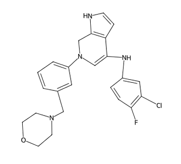 Fc1ccc(NC2=CN(c3cccc(CN4CCOCC4)c3)Cc3[nH]ccc32)cc1Cl